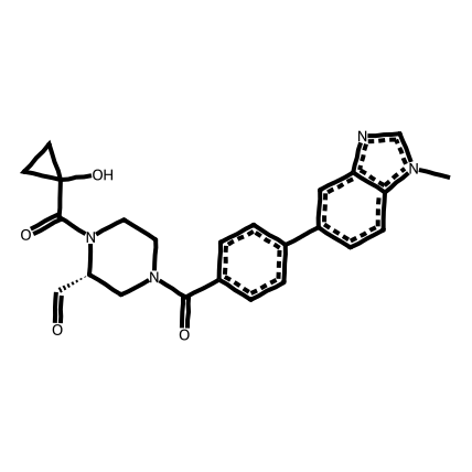 Cn1cnc2cc(-c3ccc(C(=O)N4CCN(C(=O)C5(O)CC5)[C@@H](C=O)C4)cc3)ccc21